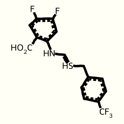 O=C(O)c1cc(F)c(F)cc1NC=[SH]Cc1ccc(C(F)(F)F)cc1